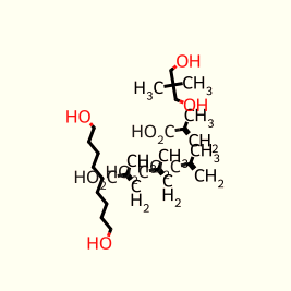 C=C(C)C(=O)O.C=C(C)C(=O)O.C=C(C)C(=O)O.C=C(C)C(=O)O.CC(C)(CO)CO.OCCCCCCCCCO